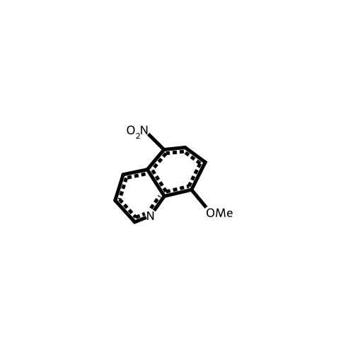 COc1ccc([N+](=O)[O-])c2cccnc12